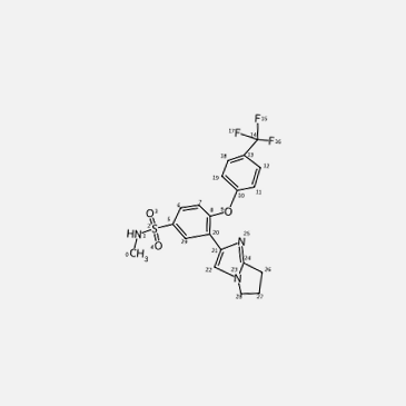 CNS(=O)(=O)c1ccc(Oc2ccc(C(F)(F)F)cc2)c(-c2cn3c(n2)CCC3)c1